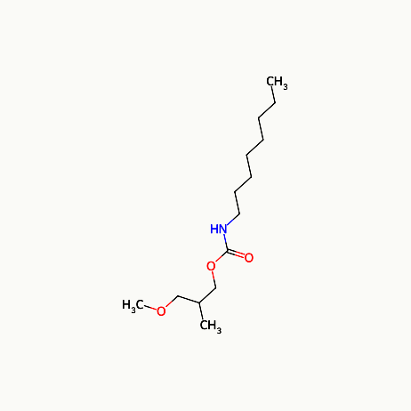 CCCCCCCCNC(=O)OCC(C)COC